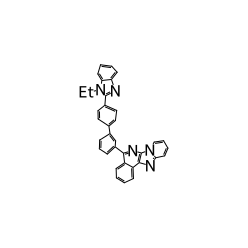 CCn1c(-c2ccc(-c3cccc(-c4nc5c(nc6ccccn65)c5ccccc45)c3)cc2)nc2ccccc21